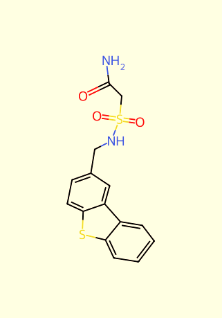 NC(=O)CS(=O)(=O)NCc1ccc2sc3ccccc3c2c1